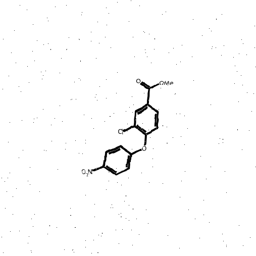 COC(=O)c1ccc(Oc2ccc([N+](=O)[O-])cc2)c(Cl)c1